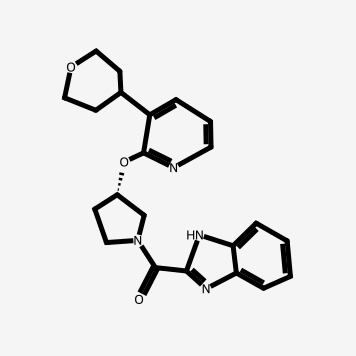 O=C(c1nc2ccccc2[nH]1)N1CC[C@H](Oc2ncccc2C2CCOCC2)C1